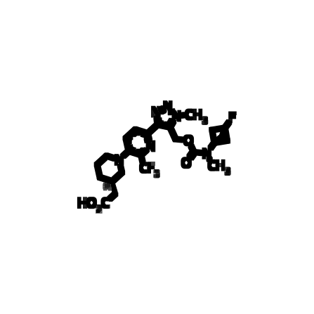 CN(C(=O)OCc1c(-c2ccc(N3CCC[C@H](CC(=O)O)C3)c(C(F)(F)F)n2)nnn1C)C12CC(F)(C1)C2